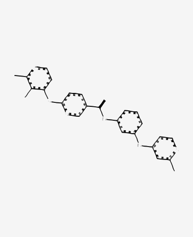 Cc1cc(Nc2cccc(NC(=O)c3ccc(Nc4ccnc(C)c4Cl)nc3)c2)ccn1